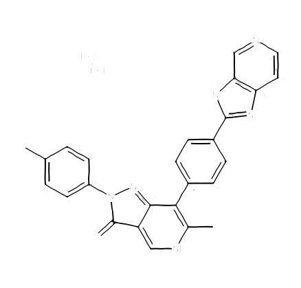 Cc1[nH]cc2c(=O)n(-c3ccc(Cl)cc3)nc-2c1-c1ccc(-c2nc3ccncc3[nH]2)cc1.Cl.Cl